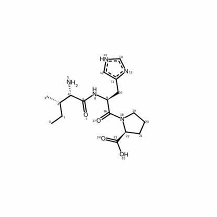 CC[C@H](C)[C@H](N)C(=O)N[C@@H](Cc1c[nH]cn1)C(=O)N1CCC[C@H]1C(=O)O